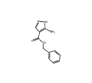 Nc1[nH]ncc1C(=O)NCc1ccccc1